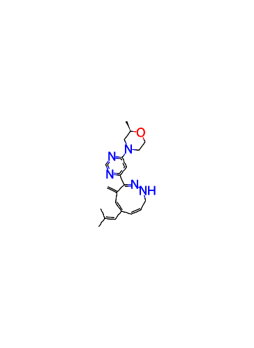 C=C1/C=C(C=C(C)C)\C=C/CN/N=C\1c1cc(N2CCO[C@H](C)C2)ncn1